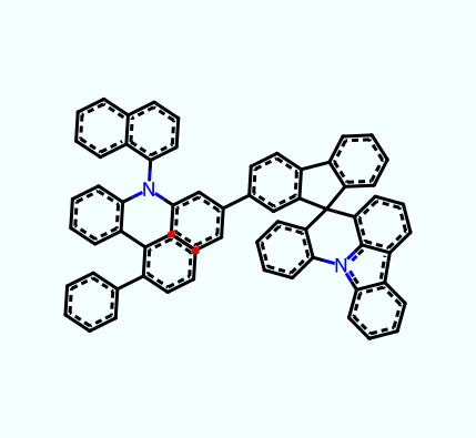 c1ccc(-c2ccccc2-c2ccccc2N(c2cccc(-c3ccc4c(c3)C3(c5ccccc5-4)c4ccccc4-n4c5ccccc5c5cccc3c54)c2)c2cccc3ccccc23)cc1